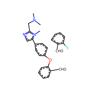 CN(C)Cc1ncc(-c2ccc(Oc3ccccc3C=O)cc2)n1C.O=Cc1ccccc1F